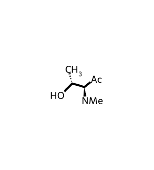 CN[C@H](C(C)=O)[C@@H](C)O